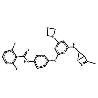 CC1=NN2C(Nc3cc(N4CCC4)nc(Sc4ccc(NC(=O)c5c(F)cccc5F)cc4)n3)C12